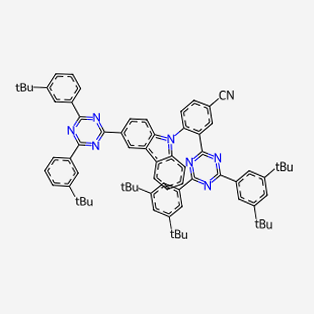 CC(C)(C)c1cccc(-c2nc(-c3cccc(C(C)(C)C)c3)nc(-c3ccc4c(c3)c3ccccc3n4-c3ccc(C#N)cc3-c3nc(-c4cc(C(C)(C)C)cc(C(C)(C)C)c4)nc(-c4cc(C(C)(C)C)cc(C(C)(C)C)c4)n3)n2)c1